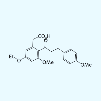 CCOc1cc(CC(=O)O)c(C(=O)CCc2ccc(OC)cc2)c(OC)c1